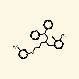 Cc1cccc(OCCCN(Cc2cccc(C(F)(F)F)c2Cl)CC(c2ccccc2)c2ccccc2)c1